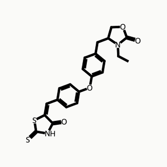 CCN1C(=O)OCC1Cc1ccc(Oc2ccc(/C=C3/SC(=S)NC3=O)cc2)cc1